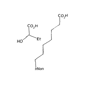 CCC(O)C(=O)O.CCCCCCCCCCCCCCCC(=O)O